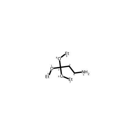 CCOC(CCN)(OCC)OCC